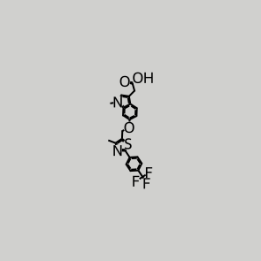 Cc1nc(-c2ccc(C(F)(F)F)cc2)sc1COc1ccc2c(CC(=O)O)cn(C)c2c1